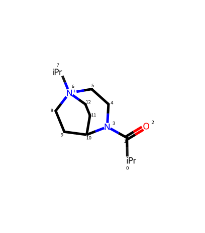 CC(C)C(=O)N1CC[N+]2(C(C)C)CCC1CC2